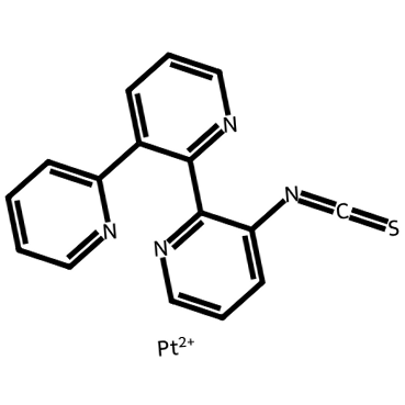 S=C=Nc1cccnc1-c1ncccc1-c1ccccn1.[Pt+2]